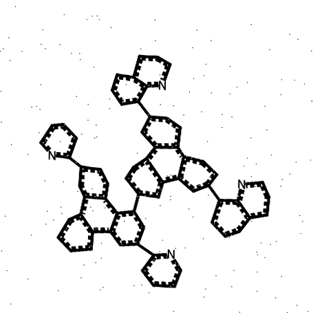 c1ccc(-c2ccc3c(c2)c2ccccc2c2cc(-c4ccccn4)cc(-c4ccc5c6cc(-c7cccc8cccnc78)ccc6c6ccc(-c7cccc8cccnc78)cc6c5c4)c32)nc1